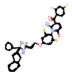 Nc1c(C(=O)c2ccc(F)cc2F)ccc(=O)n1-c1c(F)cc(OCCCN[C@](C(=O)O)(c2ccccc2)C2Cc3ccccc3C2)cc1F